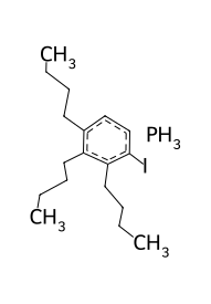 CCCCc1ccc(I)c(CCCC)c1CCCC.P